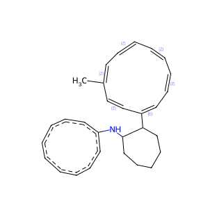 CC1=C/C=C\C=C/C=C\C=C(C2CCCCCC2Nc2ccccccccc2)/C=C\1